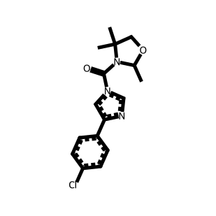 CC1OCC(C)(C)N1C(=O)n1cnc(-c2ccc(Cl)cc2)c1